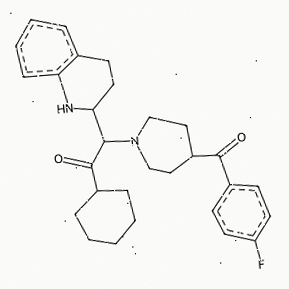 O=C(c1ccc(F)cc1)C1CCN(C(C(=O)C2CCCCC2)C2CCc3ccccc3N2)CC1